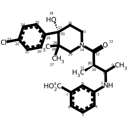 CC(Nc1cccc(C(=O)O)c1)[C@@H](C)C(=O)N1CC[C@](O)(c2ccc(Cl)cc2)C(C)(C)C1